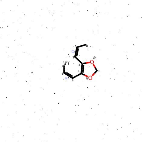 C/C=C\C1=C(/C=C\C(C)C)OCO1